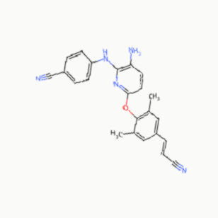 Cc1cc(C=CC#N)cc(C)c1Oc1ccc(N)c(Nc2ccc(C#N)cc2)n1